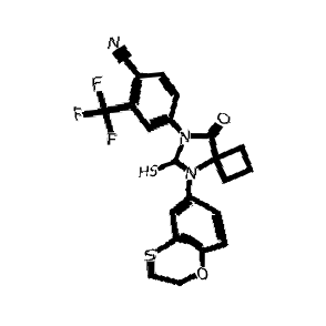 N#Cc1ccc(N2C(=O)C3(CCC3)N(c3ccc4c(c3)SCCO4)C2S)cc1C(F)(F)F